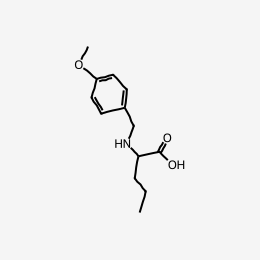 CCCC(NCc1ccc(OC)cc1)C(=O)O